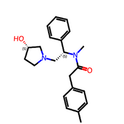 Cc1ccc(CC(=O)N(C)[C@H](CN2CC[C@H](O)C2)c2ccccc2)cc1